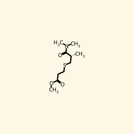 COC(=O)CCSC[C@@H](C)C(=O)N(C)C